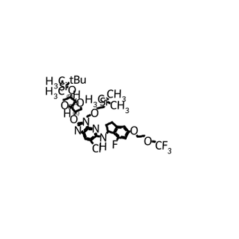 CC(C)(C)[Si](C)(C)O[C@@H]1CO[C@H]2[C@@H]1OC[C@H]2Oc1nc2cc(Cl)c(NC3CCc4cc(OCCOCC(F)(F)F)cc(F)c43)nc2n1COCC[Si](C)(C)C